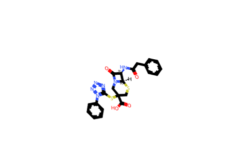 O=C(Cc1ccccc1)N[C@@H]1C(=O)N2CC(Sc3nnnn3-c3ccccc3)(C(=O)O)CS[C@H]12